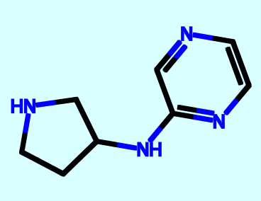 c1cnc(NC2CCNC2)cn1